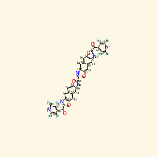 O=C(c1nc2cc3cc4oc(-c5nc6cc7cc8oc(C(=O)c9c(F)c(F)nc(F)c9F)nc8cc7cc6o5)nc4cc3cc2o1)c1c(F)c(F)nc(F)c1F